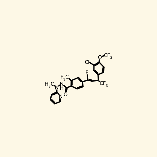 CN(NC(=O)c1ccc(C(F)=CC(c2ccc(OC(F)(F)F)c(Cl)c2)C(F)(F)F)cc1C(F)(F)F)c1ccccn1